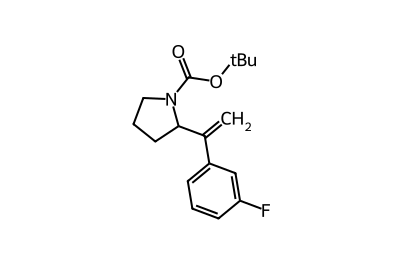 C=C(c1cccc(F)c1)C1CCCN1C(=O)OC(C)(C)C